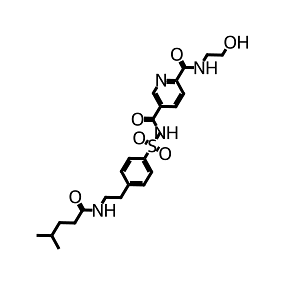 CC(C)CCC(=O)NCCc1ccc(S(=O)(=O)NC(=O)c2ccc(C(=O)NCCO)nc2)cc1